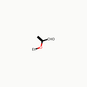 C=C(C=O)OCC